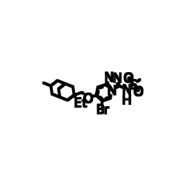 CCC1(COc2cc3nnc(NS(C)(=O)=O)n3cc2Br)CC2CC(C)CC(C2)C1